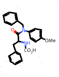 COc1ccc(N(Cc2ccccc2)C(=O)C(Cc2ccccc2)NC(=O)O)cc1